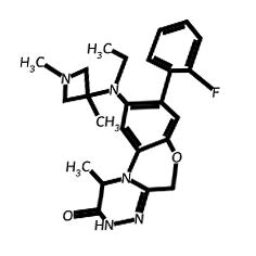 CCN(c1cc2c(cc1-c1ccccc1F)OCC1=NNC(=O)C(C)N12)C1(C)CN(C)C1